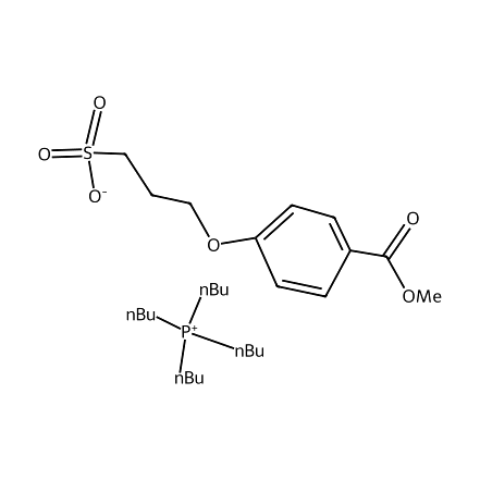 CCCC[P+](CCCC)(CCCC)CCCC.COC(=O)c1ccc(OCCCS(=O)(=O)[O-])cc1